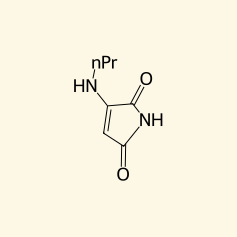 CCCNC1=CC(=O)NC1=O